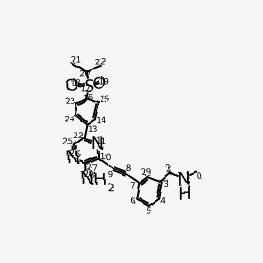 CNCc1cccc(C#Cc2nc(-c3ccc(S(=O)(=O)C(C)C)cc3)cnc2N)c1